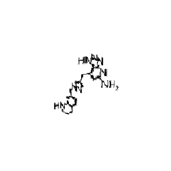 Nc1cc(Cc2cnn(Cc3ccc4c(c3)NCCC4)c2)c2[nH]nnc2n1